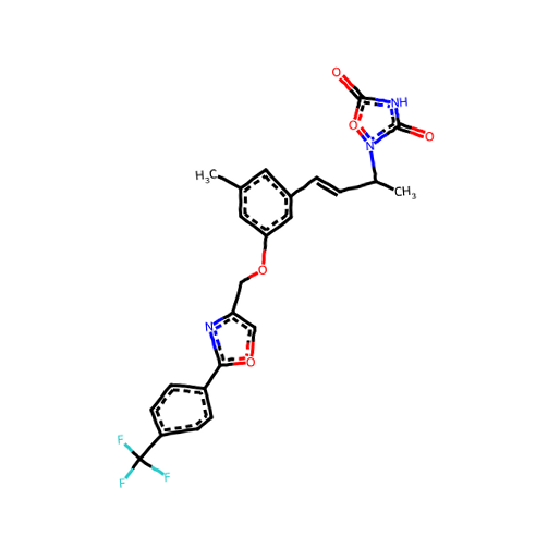 Cc1cc(C=CC(C)n2oc(=O)[nH]c2=O)cc(OCc2coc(-c3ccc(C(F)(F)F)cc3)n2)c1